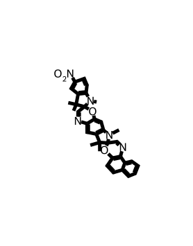 CN1c2ccc([N+](=O)[O-])cc2C(C)(C)C12C=Nc1cc3c(cc1O2)N(C)C1(C=Nc2c(ccc4ccccc24)O1)C3(C)C